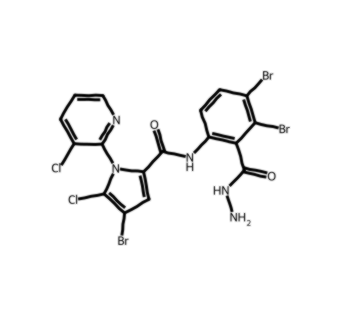 NNC(=O)c1c(NC(=O)c2cc(Br)c(Cl)n2-c2ncccc2Cl)ccc(Br)c1Br